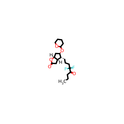 CCCC(=O)C(F)(F)CCC[C@@H]1[C@H]2CC(=O)O[C@H]2C[C@H]1OC1CCCCO1